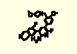 COc1ccc(-c2cc(-c3cc4c(cc3F)C=NCC4)c(N)nc2F)cc1CN1CC(OC)C1